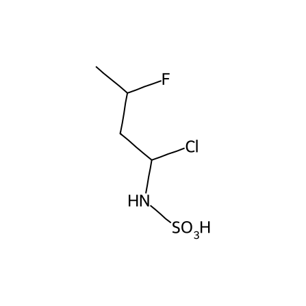 CC(F)CC(Cl)NS(=O)(=O)O